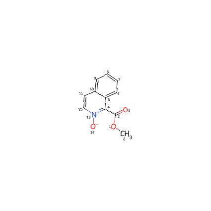 COC(=O)c1c2ccccc2cc[n+]1[O-]